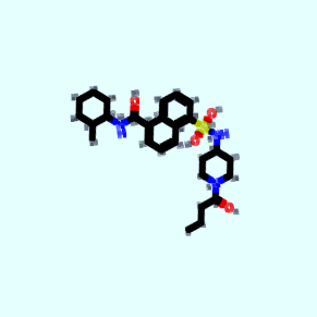 CCCC(=O)N1CCC(NS(=O)(=O)c2cccc3c(C(=O)NC4CCCCC4C)cccc23)CC1